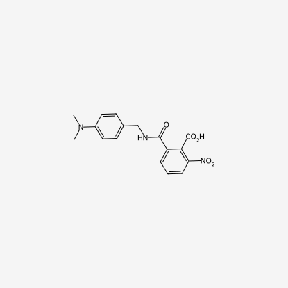 CN(C)c1ccc(CNC(=O)c2cccc([N+](=O)[O-])c2C(=O)O)cc1